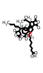 CCC/C=C/C(CCC(CCCCCCCCC(=O)O)C1CC(C(C)C)C2CC3C4(C)CCCC(C)(C(=O)O)C4CCC13C1C(=O)OC(=O)C21)C1CC(=O)OC1=O